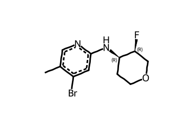 Cc1cnc(N[C@@H]2CCOC[C@@H]2F)cc1Br